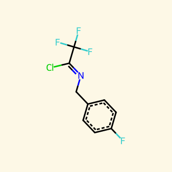 Fc1ccc(CN=C(Cl)C(F)(F)F)cc1